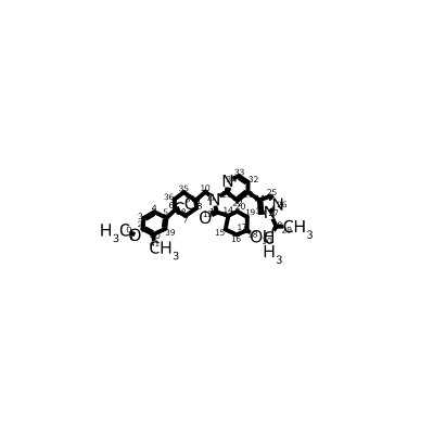 COc1ccc(C23CCC(CN(C(=O)C4CCC(O)CC4)c4cc(-c5cnn(C(C)C)c5)ccn4)(CC2)CC3)cc1C